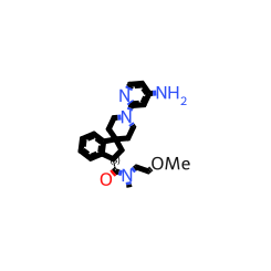 COCCN(C)C(=O)[C@H]1CC2(CCN(c3cc(N)ccn3)CC2)c2ccccc21